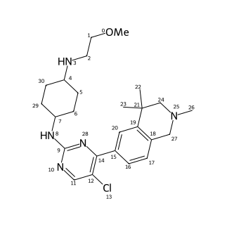 COCCNC1CCC(Nc2ncc(Cl)c(-c3ccc4c(c3)C(C)(C)CN(C)C4)n2)CC1